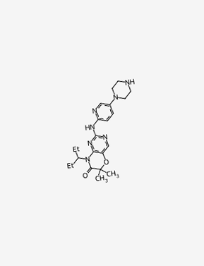 CCC(CC)N1C(=O)C(C)(C)Oc2cnc(Nc3ccc(N4CCNCC4)cn3)nc21